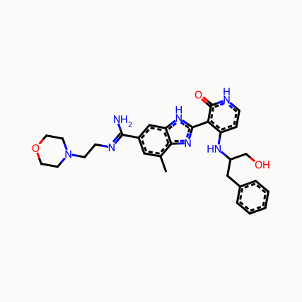 Cc1cc(C(N)=NCCN2CCOCC2)cc2[nH]c(-c3c(NC(CO)Cc4ccccc4)cc[nH]c3=O)nc12